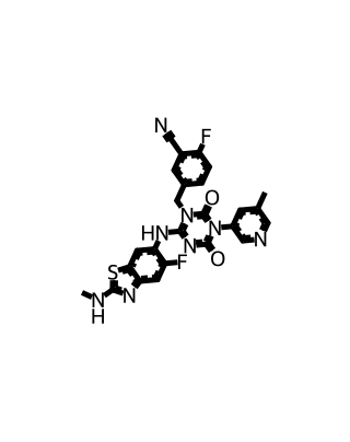 CNc1nc2cc(F)c(Nc3nc(=O)n(-c4cncc(C)c4)c(=O)n3Cc3ccc(F)c(C#N)c3)cc2s1